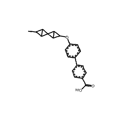 CC1C2C1C21C2C(Oc3ccc(-c4ccc(C(=O)O)cc4)cc3)C21